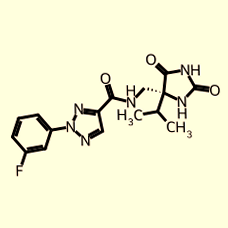 CC(C)[C@]1(CNC(=O)c2cnn(-c3cccc(F)c3)n2)NC(=O)NC1=O